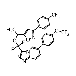 CC(OC(F)(F)c1nnc2ccc(-c3ccc(OC(F)(F)F)cc3)cn12)c1cc(-c2ccc(C(F)(F)F)cc2)no1